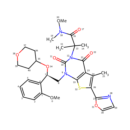 COc1ccccc1[C@H](Cn1c(=O)n(C(C)(C)C(=O)N(C)OC)c(=O)c2c(C)c(-c3ncco3)sc21)OC1CCOCC1